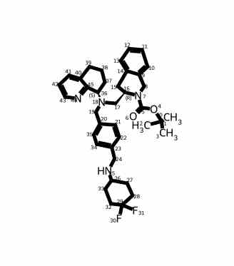 CC(C)(C)OC(=O)N1Cc2ccccc2C[C@@H]1CN(Cc1ccc(CNC2CCC(F)(F)CC2)cc1)[C@H]1CCCc2cccnc21